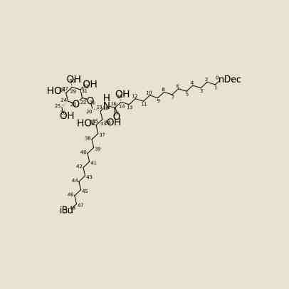 CCCCCCCCCCCCCCCCCCCCCCC[C@@H](O)C(=O)N[C@@H](CO[C@H]1O[C@H](CO)[C@H](O)[C@H](O)[C@H]1O)[C@H](O)[C@H](O)CCCCCCCCCCCC(C)CC